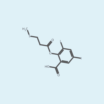 CSCCC(=O)Oc1c(I)cc(I)cc1C(=O)O